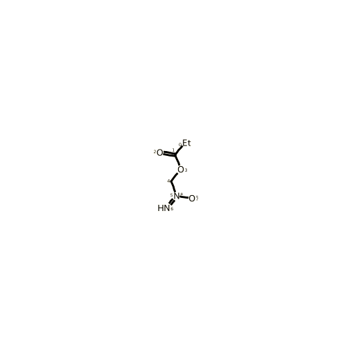 CCC(=O)OC[N+](=N)[O-]